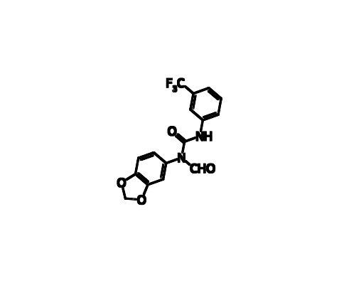 O=CN(C(=O)Nc1cccc(C(F)(F)F)c1)c1ccc2c(c1)OCO2